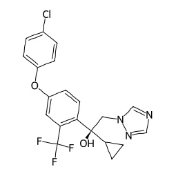 O[C@](Cn1cncn1)(c1ccc(Oc2ccc(Cl)cc2)cc1C(F)(F)F)C1CC1